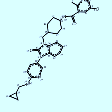 Cc1ncc(Cl)cc1C(=O)NC1CCC(Cn2c(=O)n(-c3ccc(NCC4CC4)nc3)c3ccccc32)CC1